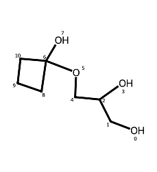 OCC(O)COC1(O)CCC1